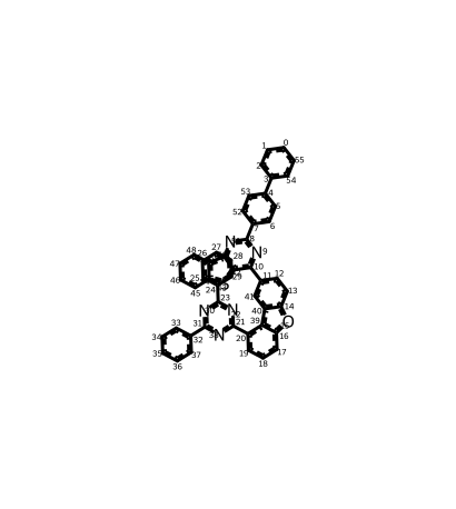 c1ccc(-c2ccc(-c3nc(-c4ccc5oc6cccc(-c7nc(-c8ccccc8)nc(-c8ccccc8)n7)c6c5c4)c4sc5ccccc5c4n3)cc2)cc1